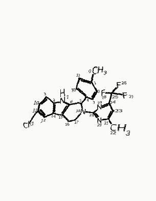 Cc1ccc(C2c3[nH]c4ccc(Cl)cc4c3CCN2c2nc(C)cc(C(F)(F)F)n2)cc1